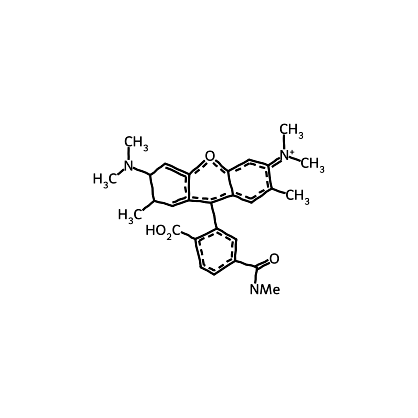 CNC(=O)c1ccc(C(=O)O)c(-c2c3cc(C)c(=[N+](C)C)cc-3oc3c2=CC(C)C(N(C)C)C=3)c1